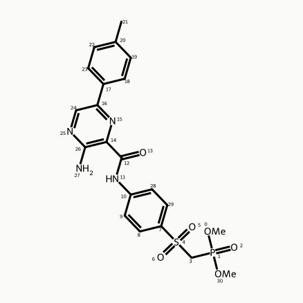 COP(=O)(CS(=O)(=O)c1ccc(NC(=O)c2nc(-c3ccc(C)cc3)cnc2N)cc1)OC